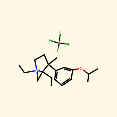 CCC12C[N+]1(CC)CCC2(C)c1cccc(OC(C)C)c1.F[B-](F)(F)F